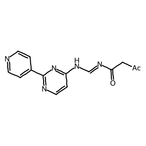 CC(=O)CC(=O)N=CNc1ccnc(-c2ccncc2)n1